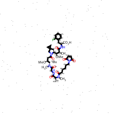 CC[C@H](C)[C@@H]([C@@H](CC(=O)N1CC2(CC2)C[C@H]1[C@H](OC)[C@@H](C)C(=O)N[C@@H](Cc1ccccc1F)C(=O)O)OC)N(C)C(=O)CNC(=O)[C@H](C(C)C)N(C)C(=O)CCCCCN1C(=O)C=CC1=O